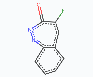 O=c1nnc2ccccc2cc1F